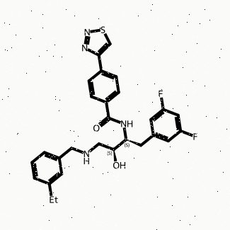 CCc1cccc(CNC[C@H](O)[C@H](Cc2cc(F)cc(F)c2)NC(=O)c2ccc(-c3csnn3)cc2)c1